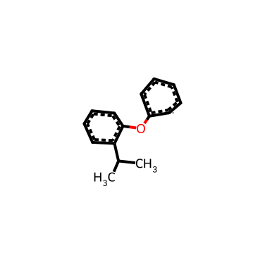 CC(C)c1ccccc1Oc1[c]cccc1